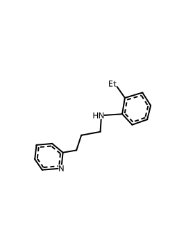 CCc1ccccc1NCCCc1ccccn1